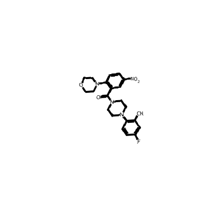 N#Cc1cc(F)ccc1N1CCN(C(=O)c2cc([N+](=O)[O-])ccc2N2CCOCC2)CC1